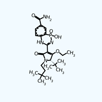 CCOC1=C(C2=NP(=O)(O)c3cc(C(N)=O)ccc3N2)C(=O)N(CCC(C)(C)C)[C@H]1C(C)(C)C